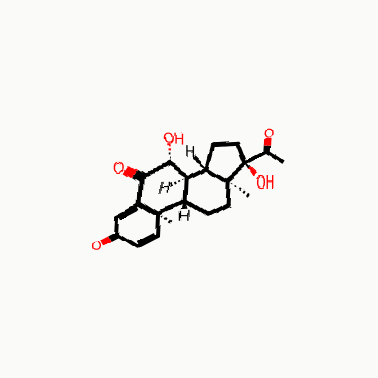 CC(=O)[C@@]1(O)CC[C@H]2[C@@H]3[C@@H](O)C(=O)C4=CC(=O)C=C[C@]4(C)[C@H]3CC[C@@]21C